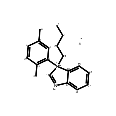 CCCC[N+]1(c2cc(C)ccc2C)C=Nc2ccccc21.[I-]